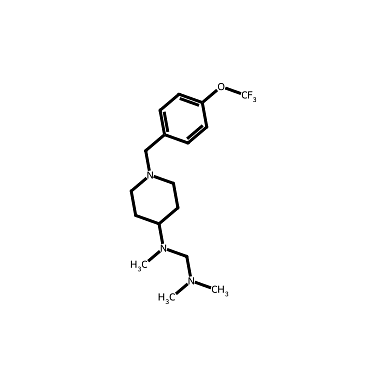 CN(C)CN(C)C1CCN(Cc2ccc(OC(F)(F)F)cc2)CC1